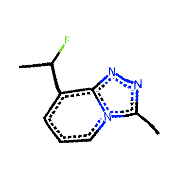 Cc1nnc2c(C(C)F)cccn12